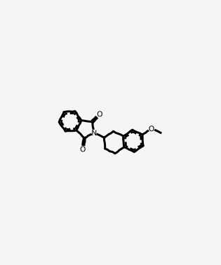 COc1ccc2c(c1)CC(N1C(=O)c3ccccc3C1=O)CC2